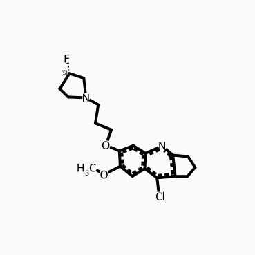 COc1cc2c(Cl)c3c(nc2cc1OCCCN1CC[C@H](F)C1)CCC3